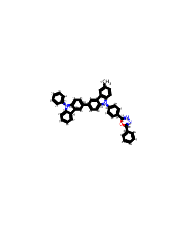 Cc1ccc2c(c1)c1cc(-c3ccc4c(c3)c3ccccc3n4-c3ccccc3)ccc1n2-c1ccc(-c2nnc(-c3ccccc3)o2)cc1